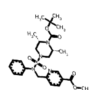 COC(=O)c1ccc(CN(c2ccccc2)S(=O)(=O)N2C[C@@H](C)N(C(=O)OC(C)(C)C)[C@@H](C)C2)nc1